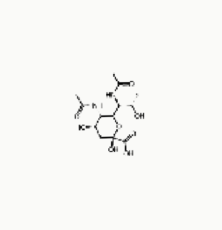 CC(=O)N[C@H](C1O[C@](O)(C(=O)O)C[C@@H](O)[C@@H]1NC(C)=O)[C@H](C)O